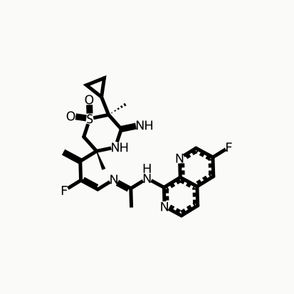 C=C(/C(F)=C\N=C(/C)Nc1nccc2cc(F)cnc12)[C@]1(C)CS(=O)(=O)[C@@](C)(C2CC2)C(=N)N1